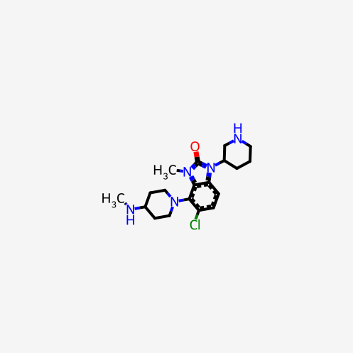 CNC1CCN(c2c(Cl)ccc3c2n(C)c(=O)n3C2CCCNC2)CC1